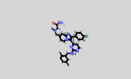 Cc1ccc(C)c(CNc2nccc(-c3c(-c4ccc(F)cc4)nc4cc(CN(C)CC(N)=O)ccn34)n2)c1